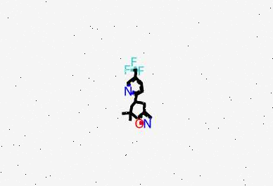 CC1(C)CC(c2ccc(C(F)(F)F)cn2)Cc2cnoc21